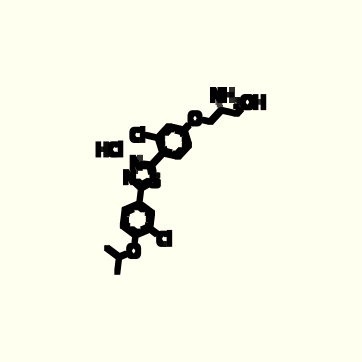 CC(C)Oc1ccc(-c2nnc(-c3ccc(OC[C@H](N)CO)cc3Cl)s2)cc1Cl.Cl